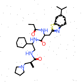 C=C(CN1CCCC1)C(=O)NCC(NC(=O)C(Cc1nc2ccc(C(C)C)cc2s1)NC(=O)CC)C1CCCCC1